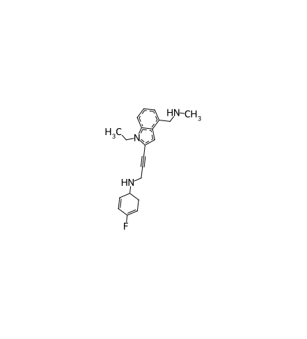 CCn1c(C#CCNC2C=CC(F)=CC2)cc2c(CNC)cccc21